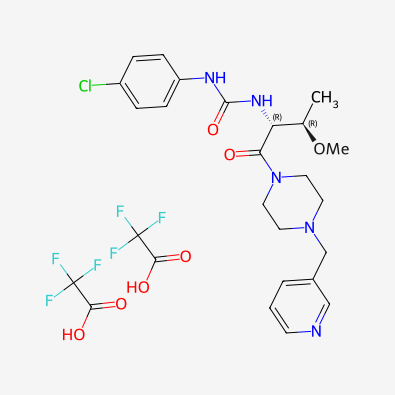 CO[C@H](C)[C@@H](NC(=O)Nc1ccc(Cl)cc1)C(=O)N1CCN(Cc2cccnc2)CC1.O=C(O)C(F)(F)F.O=C(O)C(F)(F)F